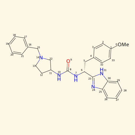 COc1ccc(C[C@@H](NC(=O)NC2CCN(Cc3ccccc3)C2)c2nc3ccccc3[nH]2)cc1